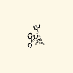 C=Cn1nnnc1SCC1=C(C(=O)OC(c2ccccc2)c2ccccc2)N2C(=O)C(N)[C@H]2SC1